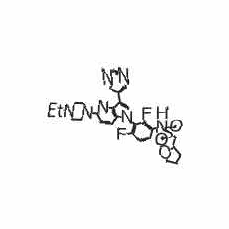 CCN1CCN(c2ccc3c(n2)c(-c2cncnc2)cn3-c2c(F)ccc(NS(=O)(=O)CC3CCCO3)c2F)CC1